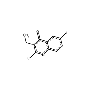 CCn1c(Cl)nc2ccc(I)cc2c1=O